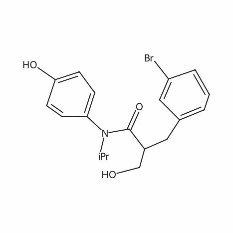 CC(C)N(C(=O)C(CO)Cc1cccc(Br)c1)c1ccc(O)cc1